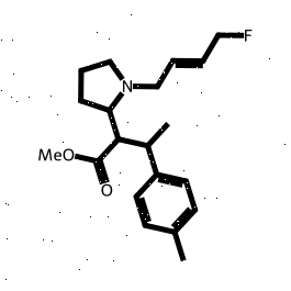 COC(=O)C(C(C)c1ccc(C)cc1)C1CCCN1C/C=C/CF